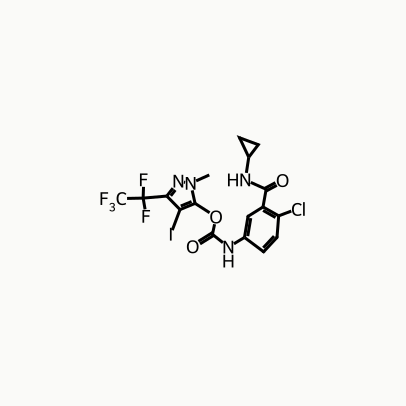 Cn1nc(C(F)(F)C(F)(F)F)c(I)c1OC(=O)Nc1ccc(Cl)c(C(=O)NC2CC2)c1